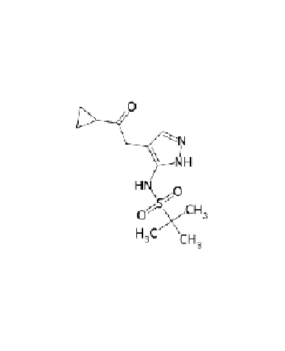 CC(C)(C)S(=O)(=O)Nc1[nH]ncc1CC(=O)C1CC1